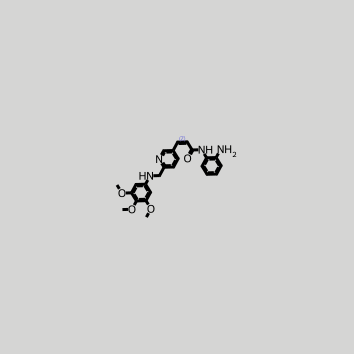 COc1cc(NCc2ccc(/C=C\C(=O)Nc3ccccc3N)cn2)cc(OC)c1OC